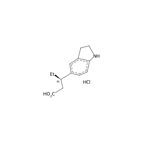 CC[C@H](CC(=O)O)c1ccc2c(c1)CCN2.Cl